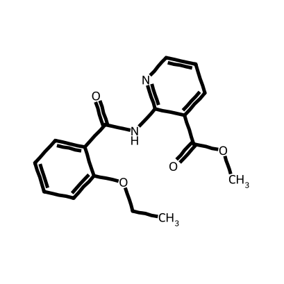 CCOc1ccccc1C(=O)Nc1ncccc1C(=O)OC